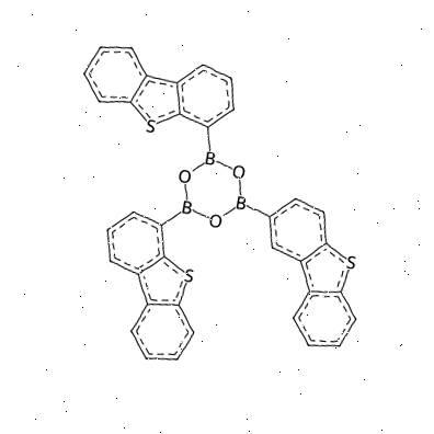 c1ccc2c(c1)sc1ccc(B3OB(c4cccc5c4sc4ccccc45)OB(c4cccc5c4sc4ccccc45)O3)cc12